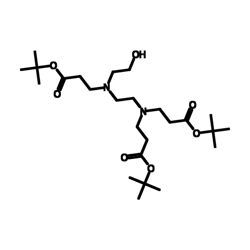 CC(C)(C)OC(=O)CCN(CCO)CCN(CCC(=O)OC(C)(C)C)CCC(=O)OC(C)(C)C